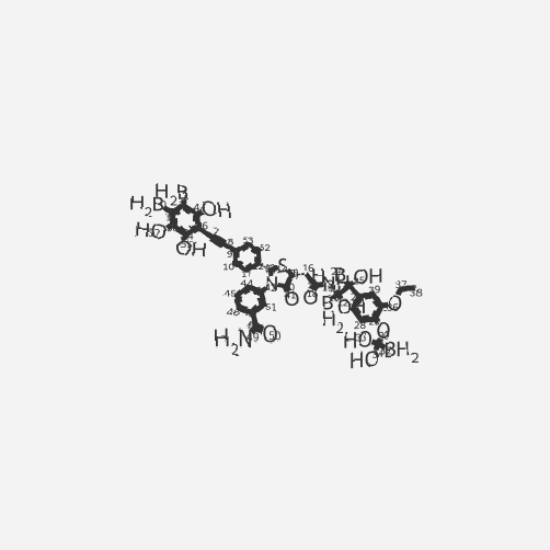 Bc1c(B)c(O)c(C#Cc2ccc([C@@H]3S[C@H](CC(=O)NC(B)(O)C(B)(O)c4ccc(OC(B)(O)O)c(OCC)c4)C(=O)N3c3cccc(C(N)=O)c3)cc2)c(O)c1O